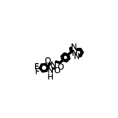 O=C(CN1C(=O)NC2(CCC(F)(F)CC2)C1=O)c1ccc(-c2cnc3cccnn23)cc1